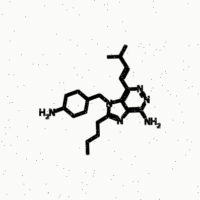 CCCCc1nc2c(N)nnc(/C=C/C(C)C)c2n1CC1CCC(N)CC1